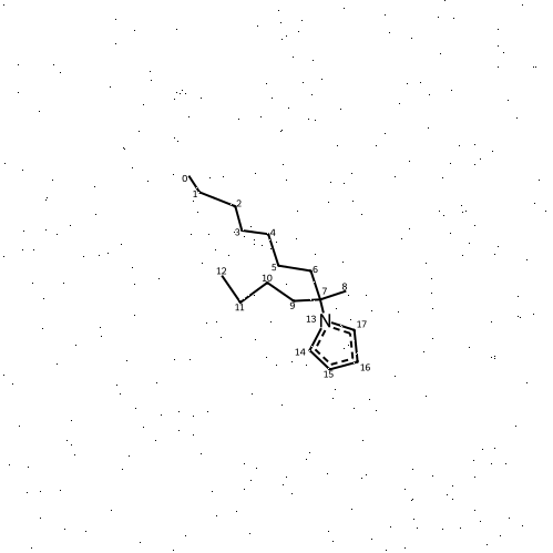 CCCCCCCC(C)(CCCC)n1cccc1